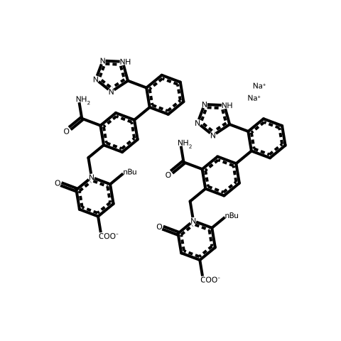 CCCCc1cc(C(=O)[O-])cc(=O)n1Cc1ccc(-c2ccccc2-c2nnn[nH]2)cc1C(N)=O.CCCCc1cc(C(=O)[O-])cc(=O)n1Cc1ccc(-c2ccccc2-c2nnn[nH]2)cc1C(N)=O.[Na+].[Na+]